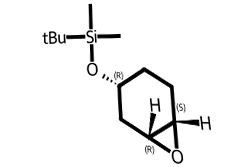 CC(C)(C)[Si](C)(C)O[C@@H]1CC[C@@H]2O[C@@H]2C1